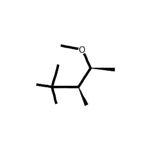 CO[C@@H](C)[C@@H](C)C(C)(C)C